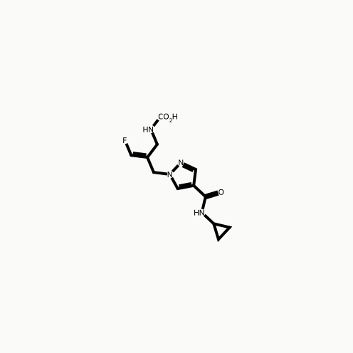 O=C(O)NC/C(=C\F)Cn1cc(C(=O)NC2CC2)cn1